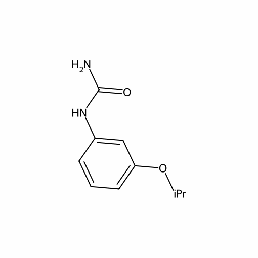 CC(C)Oc1cccc(NC(N)=O)c1